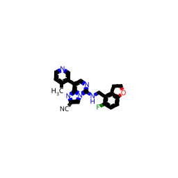 Cc1ccncc1-c1cnc(NCc2c(F)ccc3c2CCO3)n2cc(C#N)nc12